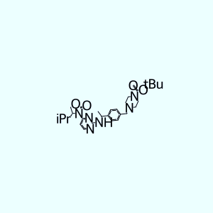 CC(Nc1nccc(N2C(=O)OC[C@@H]2C(C)C)n1)c1ccc(CN2CCN(C(=O)OC(C)(C)C)CC2)cc1